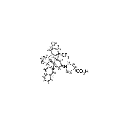 CC(C)OC(c1cc2ccccc2cn1)N(Cc1cc(C(F)(F)F)cc(C(F)(F)F)c1)c1ncc(N2CCC(C(=O)O)CC2)cn1